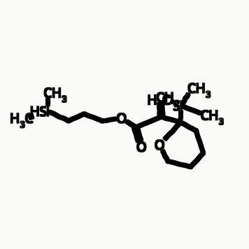 C=C(C(=O)OCCC[SiH](C)C)C1([Si](C)(C)C)CCCCO1